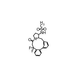 CS(=O)(=O)NC1CCN2C(=O)CC(F)(F)c3ccccc3-c3cccc(c3)CC12